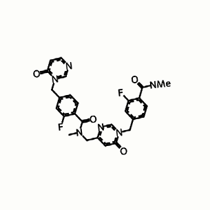 CNC(=O)c1ccc(Cn2cnc(CN(C)C(=O)c3ccc(Cn4cnccc4=O)cc3F)cc2=O)cc1F